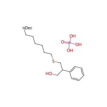 CCCCCCCCCCCCCCCCSCC(CO)c1ccccc1.O=P(O)(O)O